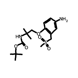 CC(C)(COc1ccc(N)cc1CS(C)(=O)=O)NC(=O)OC(C)(C)C